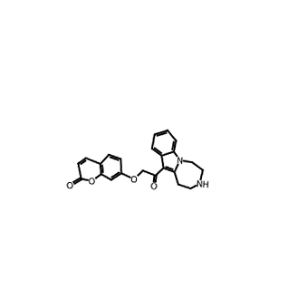 O=C(COc1ccc2ccc(=O)oc2c1)c1c2n(c3ccccc13)CCNCC2